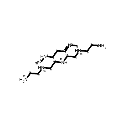 CCCNCCC=NC.NCCNCCNCCNCCN